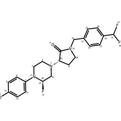 O=C1[C@@H](N2CCN(c3ccc(O)cc3)[C@H](F)C2)CCN1Cc1ccc(C(F)F)cc1